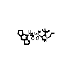 CCCn1ncc(S(=O)(=O)NC(=O)Nc2c3c(cc4c2CCC4)CCC3)c1C(C)(F)F